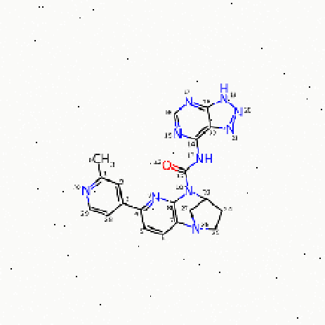 Cc1cc(-c2ccc3c(n2)N(C(=O)Nc2ncnc4[nH]nnc24)C2CCN3C2)ccn1